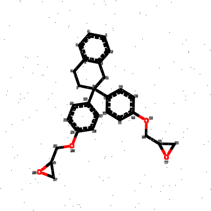 c1ccc2c(c1)CCC(c1ccc(OCC3CO3)cc1)(c1ccc(OCC3CO3)cc1)C2